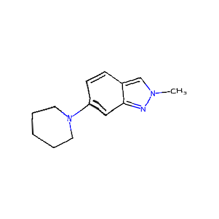 Cn1cc2ccc(N3CCCCC3)cc2n1